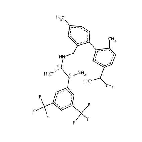 Cc1ccc(-c2cc(C(C)C)ccc2C)c(CN[C@@H](C)[C@H](N)c2cc(C(F)(F)F)cc(C(F)(F)F)c2)c1